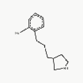 CC(C)(C)c1[c]cccc1CCCC1CCNC1